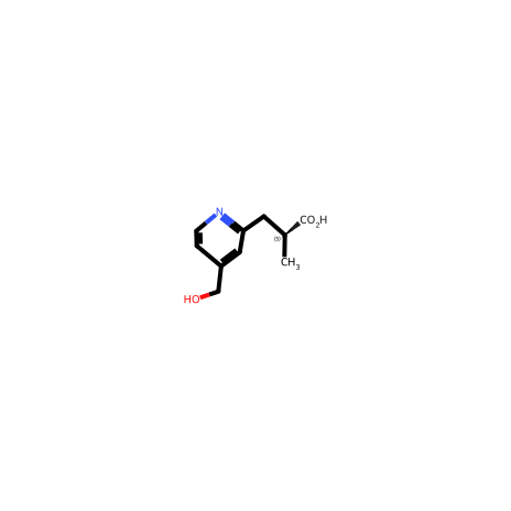 C[C@@H](Cc1cc(CO)ccn1)C(=O)O